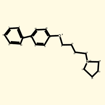 c1ccc(-c2ccc(OCCCCN3CCCC3)cc2)cc1